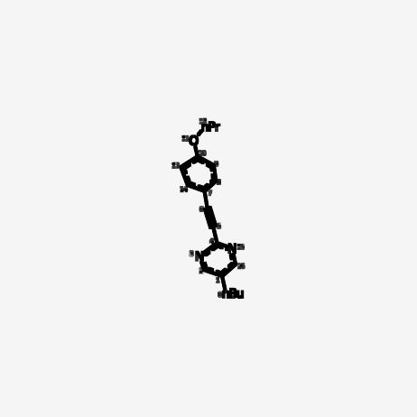 CCCCc1cnc(C#Cc2ccc(OCCC)cc2)nc1